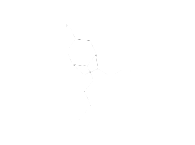 CCCCC1C2CC(OC)C1CC(O)O2